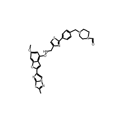 COc1cc(ONCc2csc(-c3ccc(CN4CCN(C=O)CC4)cc3)n2)c2cc(-c3cn4nc(C)sc4n3)oc2c1